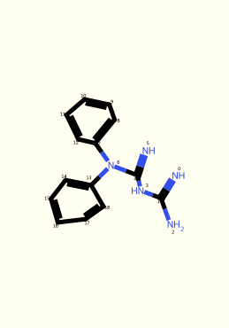 N=C(N)NC(=N)N(c1ccccc1)c1ccccc1